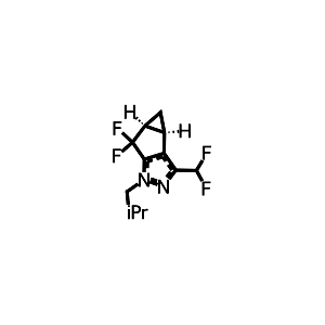 CC(C)Cn1nc(C(F)F)c2c1C(F)(F)[C@H]1C[C@@H]21